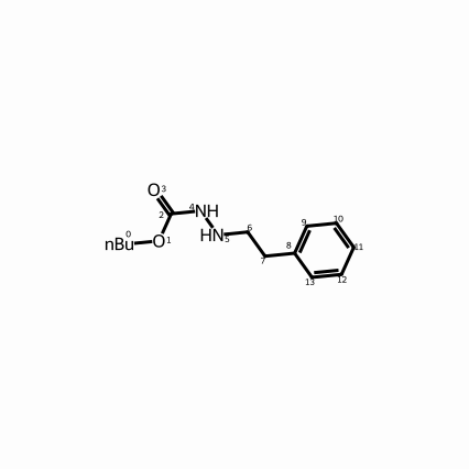 CCCCOC(=O)NNCCc1ccccc1